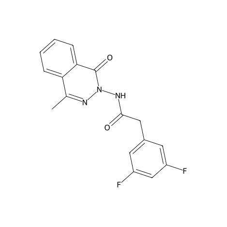 Cc1nn(NC(=O)Cc2cc(F)cc(F)c2)c(=O)c2ccccc12